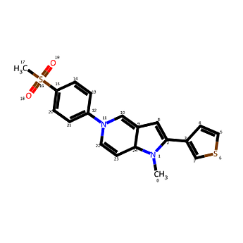 CN1C(c2ccsc2)=CC2=CN(c3ccc(S(C)(=O)=O)cc3)C=CC21